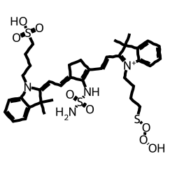 CC1(C)C(/C=C/C2=C(NS(N)(=O)=O)C(=C/C=C3/N(CCCCS(=O)(=O)O)c4ccccc4C3(C)C)/CC2)=[N+](CCCCSOOO)c2ccccc21